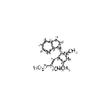 CC(=Cc1c(C)nn(C)c1-n1ccc2cccnc21)C(=O)O